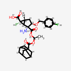 C[C@@H](OC(=O)C12CC3CC(CC(C3)C1)C2)OC(=O)[C@@]1(N)C2[C@@H](C[C@H]1OCc1ccc(F)cc1)[C@]2(F)C(=O)O